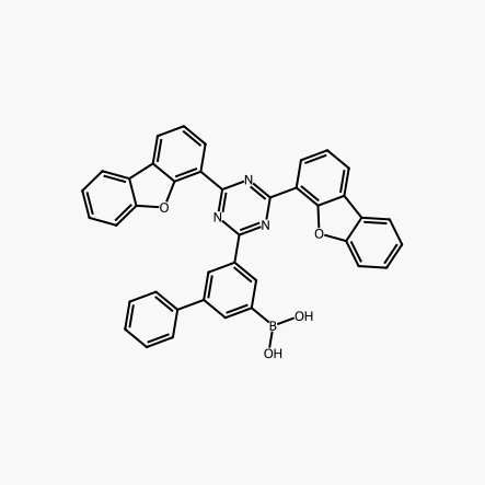 OB(O)c1cc(-c2ccccc2)cc(-c2nc(-c3cccc4c3oc3ccccc34)nc(-c3cccc4c3oc3ccccc34)n2)c1